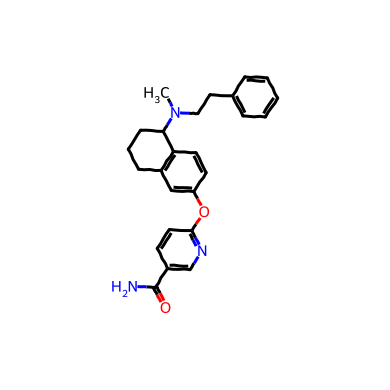 CN(CCc1ccccc1)C1CCCc2cc(Oc3ccc(C(N)=O)cn3)ccc21